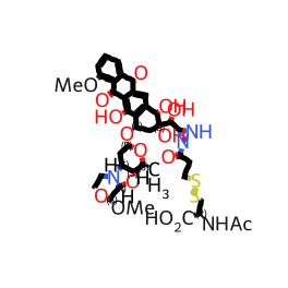 COc1cccc2c1C(=O)c1c(cc3c(c1O)[C@@H](O[C@H]1C[C@H]4[C@H](O[C@@H]5[C@@H](OC)OCCN54)[C@H](C)O1)C[C@@](O)(C(O)C1NN1C(=O)CCSSC[C@H](NC(C)=O)C(=O)O)C3O)C2=O